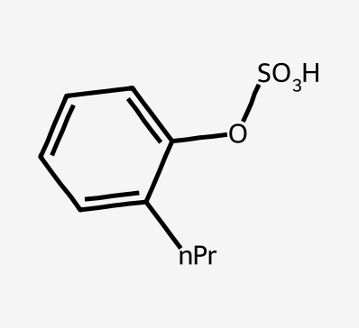 CCCc1ccccc1OS(=O)(=O)O